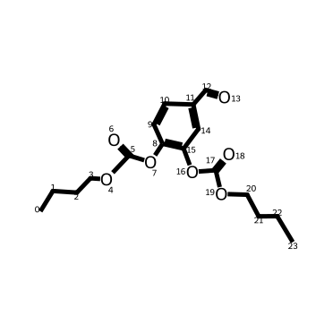 CCCCOC(=O)Oc1ccc(C=O)cc1OC(=O)OCCCC